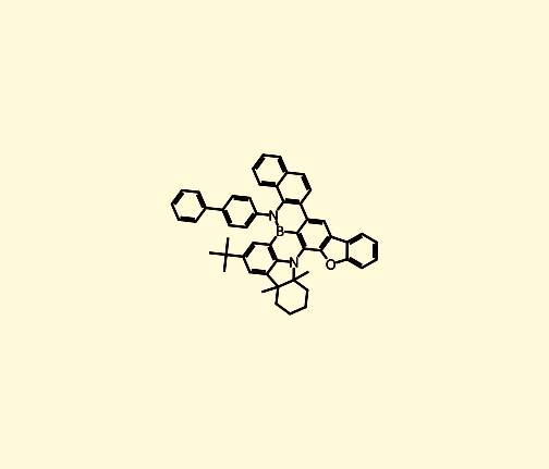 CC(C)(C)c1cc2c3c(c1)C1(C)CCCCC1(C)N3c1c3c(cc4c1oc1ccccc14)-c1ccc4ccccc4c1N(c1ccc(-c4ccccc4)cc1)B23